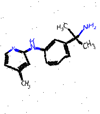 Cc1ccnc(Nc2cccc(C(C)(C)N)c2)c1